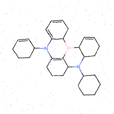 C1=CCC2B3C4=C(CCCC4N(C4CCCCC4)C4CCC=CC34)N(C3C=CCCC3)C2=C1